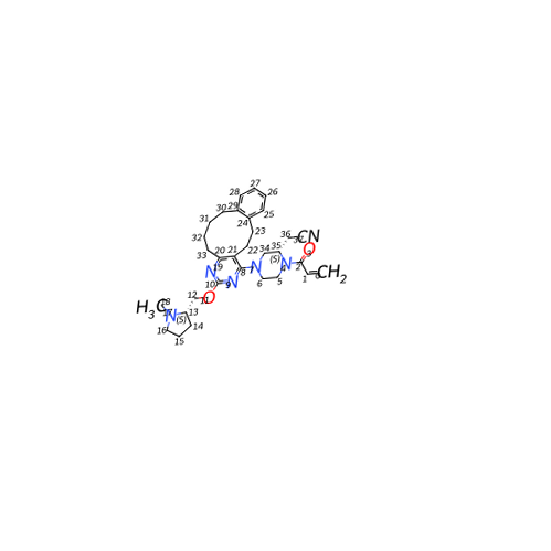 C=CC(=O)N1CCN(c2nc(OC[C@@H]3CCCN3C)nc3c2CCc2ccccc2CCCC3)C[C@@H]1CC#N